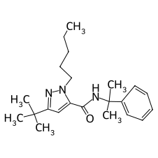 CCCCCn1nc(C(C)(C)C)cc1C(=O)NC(C)(C)c1ccccc1